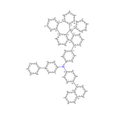 c1ccc(-c2ccc(N(c3ccc(-c4cccc(C5(c6ccccc6)c6ccccc6-c6ccccc6-c6ccccc65)c4)cc3)c3ccc(-c4cccc5ccccc45)cc3)cc2)cc1